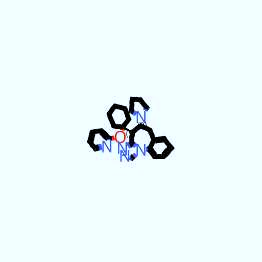 c1ccc(OC2([C@@H]3c4nncn4-c4ccccc4C[C@H]3N3CCCC3)CCCCC2)nc1